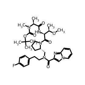 CO[C@H](C)[C@H](NC(=O)[C@H](C)N(C)C(=O)OC(C)(C)C)C(=O)N1CCC[C@H]1CN(CCc1ccc(F)cc1)C(=O)c1cn2ccccc2n1